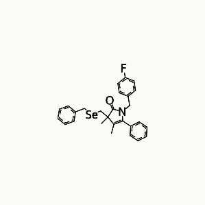 CC1=C(c2ccccc2)N(Cc2ccc(F)cc2)C(=O)C1(C)C[Se]Cc1ccccc1